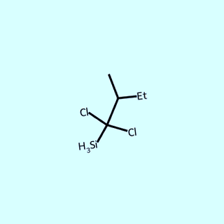 CCC(C)C([SiH3])(Cl)Cl